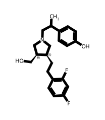 CC(CN1C[C@@H](CCc2ccc(F)cc2F)[C@@H](CO)C1)c1ccc(O)cc1